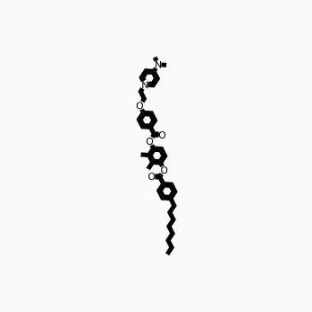 CCCCCCCCc1ccc(C(=O)Oc2ccc(OC(=O)c3ccc(OCC[n+]4ccc(N(C)C)cc4)cc3)c(C)c2C)cc1